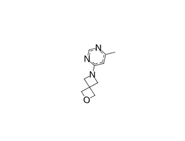 Cc1cc(N2CC3(COC3)C2)ncn1